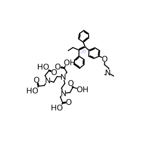 CC/C(=C(\c1ccccc1)c1ccc(OCCN(C)C)cc1)c1ccccc1.O=C(O)CN(CCN(CC(=O)O)CC(=O)O)CCN(CC(=O)O)CC(=O)O